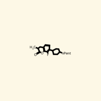 CCCCCC1CCC(c2ccc3c(c2F)OC(=O)C(C)C3)CC1